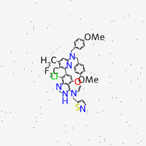 COc1ccc(CN(Cc2ccc(OC)cc2)c2cc(C)c(C(F)(F)F)c(-c3cc4c5c(c3Cl)=NCNC=5N(Cc3ccns3)C=CO4)n2)cc1